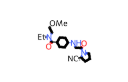 CCN(CCOC)C(=O)[C@H]1CC[C@H](NCC(=O)N2CCC[C@H]2C#N)CC1